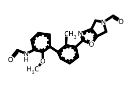 COc1c(NC=O)cccc1-c1cccc(-c2nc3c(o2)CN(C=O)C3)c1C